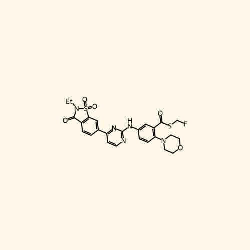 CCN1C(=O)c2ccc(-c3ccnc(Nc4ccc(N5CCOCC5)c(C(=O)SCF)c4)n3)cc2S1(=O)=O